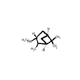 CN[C@@H]1C[C@@H]2C[C@H](C1C)C2(C)C